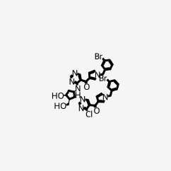 O=C(c1ccn(Cc2cccc(Br)c2)c1)c1cncnc1Cl.O=C(c1ccn(Cc2cccc(Br)c2)c1)c1cncnc1N[C@@H]1C[C@@H](CO)[C@@H](O)C1